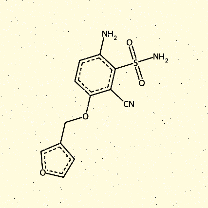 N#Cc1c(OCc2ccoc2)ccc(N)c1S(N)(=O)=O